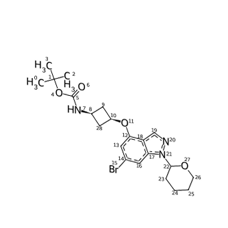 CC(C)(C)OC(=O)N[C@H]1C[C@@H](Oc2cc(Br)cc3c2cnn3C2CCCCO2)C1